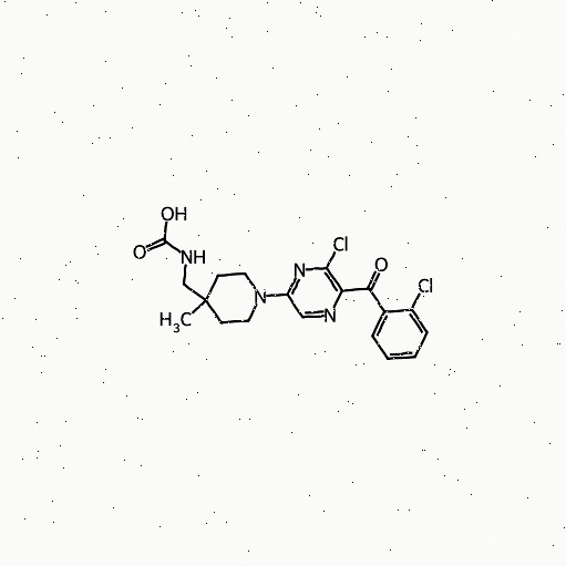 CC1(CNC(=O)O)CCN(c2cnc(C(=O)c3ccccc3Cl)c(Cl)n2)CC1